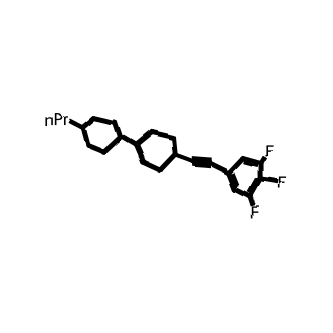 CCCC1CCC(C2CCC(C#Cc3cc(F)c(F)c(F)c3)CC2)CC1